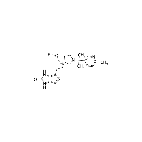 CCOC[C@]1(CCc2scc3[nH]c(=O)[nH]c23)CCN(C(C)(C)c2ccc(C)nc2)C1